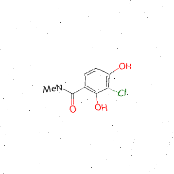 CNC(=O)c1ccc(O)c(Cl)c1O